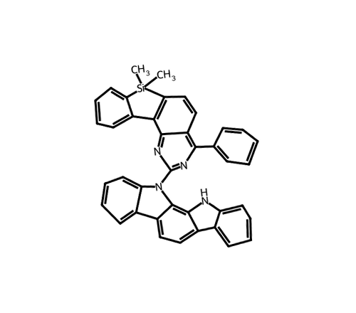 C[Si]1(C)c2ccccc2-c2c1ccc1c(-c3ccccc3)nc(-n3c4ccccc4c4ccc5c6ccccc6[nH]c5c43)nc21